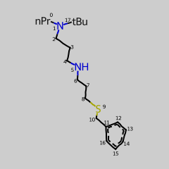 CCCN(CCCNCCCSCc1ccccc1)C(C)(C)C